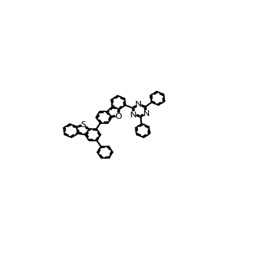 c1ccc(-c2cc(-c3ccc4c(c3)oc3c(-c5nc(-c6ccccc6)nc(-c6ccccc6)n5)cccc34)c3sc4ccccc4c3c2)cc1